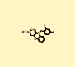 O=CN(O)CC1Sc2ccccc2N(Cc2ccc(F)cc2F)C1=O